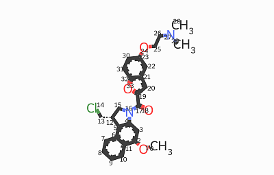 COc1cc2c(c3ccccc13)[C@H](CCl)CN2C(=O)c1cc2cc(OCCN(C)C)ccc2o1